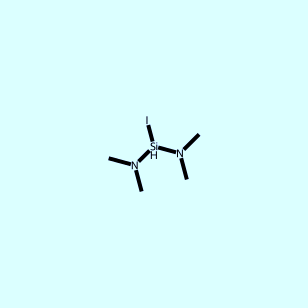 CN(C)[SiH](I)N(C)C